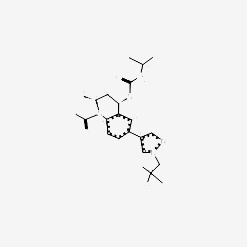 CC(=O)N1c2ccc(-c3cnn(CC(C)(C)O)c3)cc2[C@H](NC(=O)OC(C)C)C[C@@H]1C